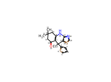 CCC1(c2cccs2)C2=C(CC(C)(C)CC2=O)Nc2ncsc21